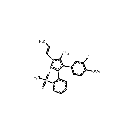 CC=Cn1nc(-c2ccccc2S(N)(=O)=O)c(-c2ccc(OC)c(F)c2)c1C